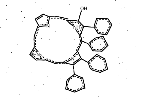 Oc1c(-c2ccccc2)c2[nH]c1cc1nc(cc3ccc(cc4nc(c2-c2ccccc2)C(c2ccccc2)=C4c2ccccc2)[nH]3)C=C1